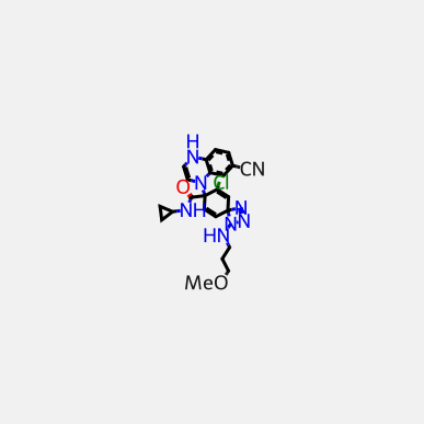 COCCCNN1N=NC12C=CC(C(=O)NC1CC1)(N1C=CNc3ccc(C#N)cc31)C(Cl)=C2